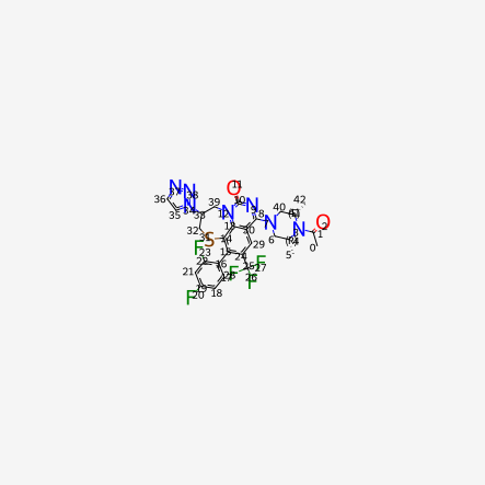 CC(=O)N1[C@H](C)CN(c2nc(=O)n3c4c(c(-c5ccc(F)cc5F)c(C(F)(F)F)cc24)SCC(n2ccnn2)C3)C[C@@H]1C